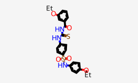 CCOc1ccc(NS(=O)(=O)c2ccc(NC(=S)NC(=O)c3cccc(OCC)c3)cc2)cc1